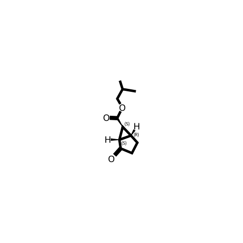 CC(C)COC(=O)[C@H]1[C@@H]2CCC(=O)[C@@H]21